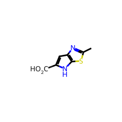 Cc1nc2cc(C(=O)O)[nH]c2s1